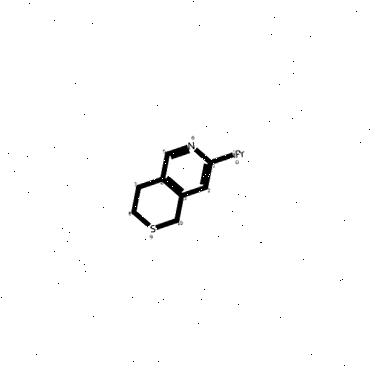 CC(C)c1cc2c(cn1)CCSC2